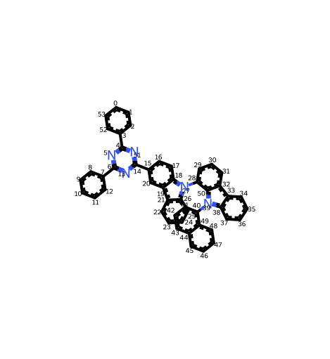 c1ccc(-c2nc(-c3ccccc3)nc(-c3ccc4c(c3)c3ccccc3n4-c3cccc4c5ccccc5n(-c5cccc6ccccc56)c34)n2)cc1